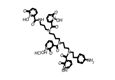 Cl.Nc1ccc(CCN(CCCN(CCCCN(CCCNC(=O)c2cccc(=O)n2O)C(=O)c2cccc(=O)n2O)C(=O)c2cccn(O)c2=O)C(=O)c2cccn(O)c2=O)cc1